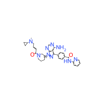 CN(CC=CC(=O)N1CCC[C@@H](n2nc(-c3ccc(C(=O)Nc4ccccn4)cc3)c3c(N)ncnc32)C1)C1CC1